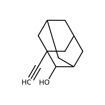 C#CC12CC3CC(CC(C3)C1O)C2